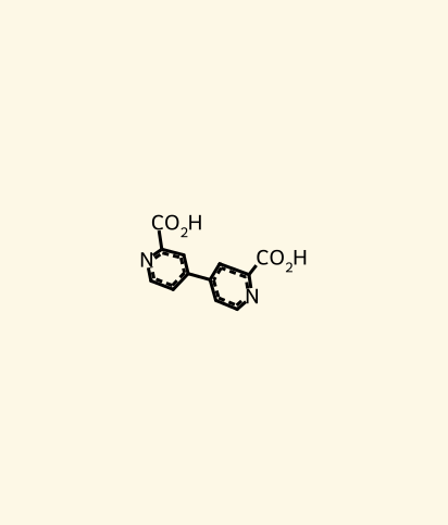 O=C(O)c1cc(-c2ccnc(C(=O)O)c2)ccn1